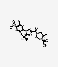 Cc1cc(N2CC(C(=O)N3CCN(C(=O)O)C(C)C3)OC2C(F)(F)F)ccc1[N+](=O)[O-]